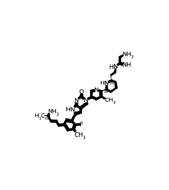 Cc1cc(-n2cc3cc(-c4cc(CCC[C@H](C)N)cc(C)c4F)[nH]c3nc2=O)cnc1[C@@H]1CCC[C@@H](CCNC(=N)CN)N1